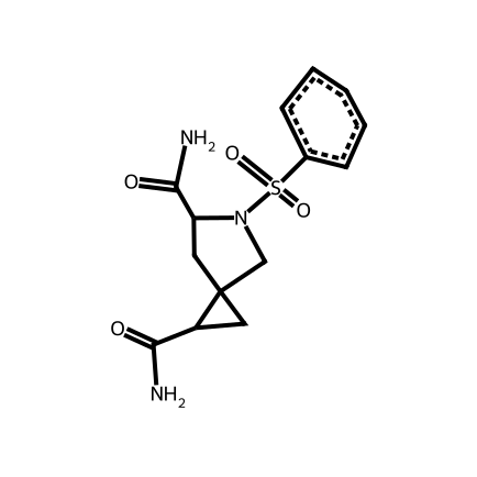 NC(=O)C1CC2(CC2C(N)=O)CN1S(=O)(=O)c1ccccc1